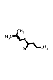 CCCC(Br)SC=C(C)C